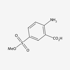 COS(=O)(=O)c1ccc(N)c(C(=O)O)c1